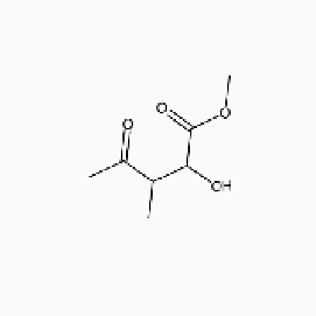 COC(=O)C(O)C(C)C(C)=O